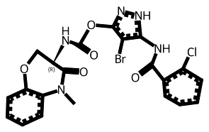 CN1C(=O)[C@H](NC(=O)Oc2n[nH]c(NC(=O)c3ccccc3Cl)c2Br)COc2ccccc21